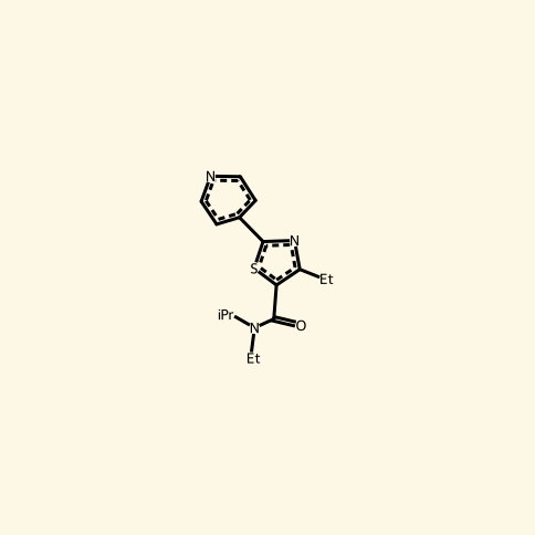 CCc1nc(-c2ccncc2)sc1C(=O)N(CC)C(C)C